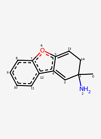 CC1(N)C=c2c(oc3ccccc23)=CC1